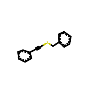 C(#Cc1ccccc1)SCc1ccccc1